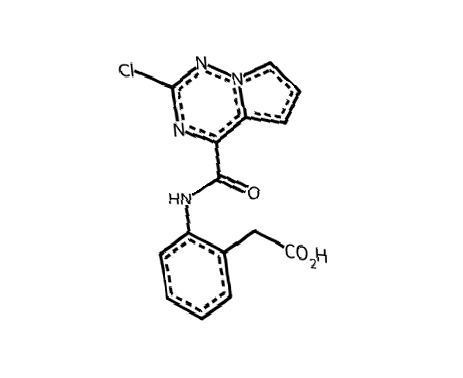 O=C(O)Cc1ccccc1NC(=O)c1nc(Cl)nn2cccc12